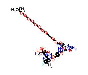 CC[C@@]1(O)C(=O)OCc2c1cc1n(c2=O)Cc2c-1nc1cc(F)c(C)c3c1c2[C@@H](NC(=O)OCc1ccc(NC(=O)[C@H](CCCNC(N)=O)NC(=O)[C@@H](NC(=O)CCOCCOCCCCCOCCOCCOCCOCCOCCOCCOCCOCCC(C)C)C(C)C)cc1)CC3